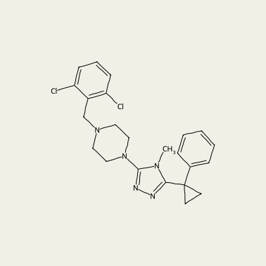 Cn1c(N2CCN(Cc3c(Cl)cccc3Cl)CC2)nnc1C1(c2ccccc2)CC1